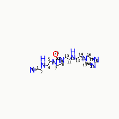 N#CCNCCN1CCN(CCNCCN(CC#N)CC#N)C1=O